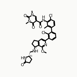 COc1nc(-c2cccc(-c3ccc(Cl)c(NC(=O)c4cn(C)c(=O)n(C)c4=O)c3C)c2Cl)cc2c1[C@@H](NC[C@@H]1CCC(=O)N1)CC2